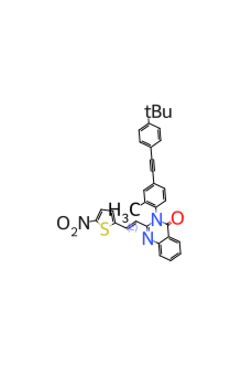 Cc1cc(C#Cc2ccc(C(C)(C)C)cc2)ccc1-n1c(/C=C/c2ccc([N+](=O)[O-])s2)nc2ccccc2c1=O